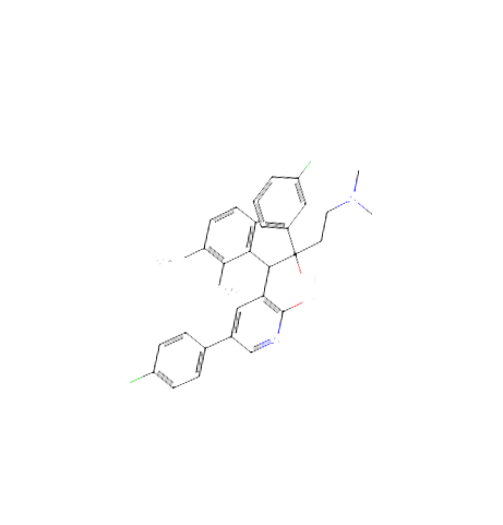 COc1cccc(C(c2cc(-c3ccc(Cl)cc3)cnc2O)C(O)(CCN(C)C)C2=C=C=CC(Cl)=C2)c1OC